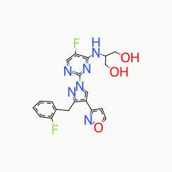 OCC(CO)Nc1nc(-n2cc(-c3ccon3)c(Cc3ccccc3F)n2)ncc1F